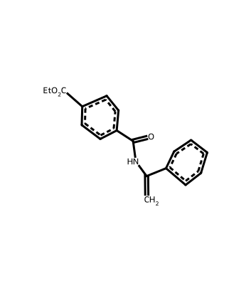 C=C(NC(=O)c1ccc(C(=O)OCC)cc1)c1ccccc1